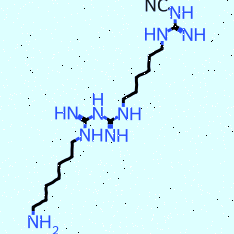 N#CNC(=N)NCCCCCCNC(=N)NC(=N)NCCCCCCCN